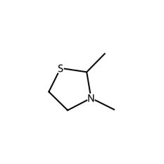 CC1SCCN1C